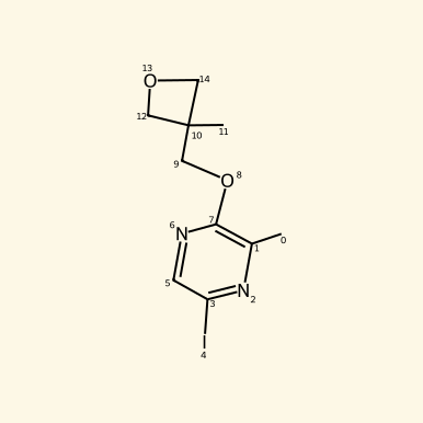 Cc1nc(I)cnc1OCC1(C)COC1